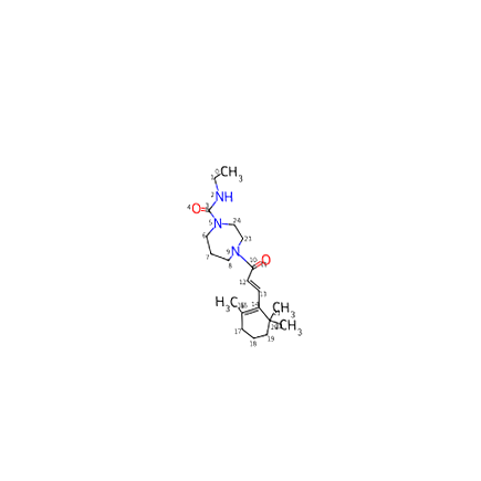 CCNC(=O)N1CCCN(C(=O)C=CC2=C(C)CCCC2(C)C)CC1